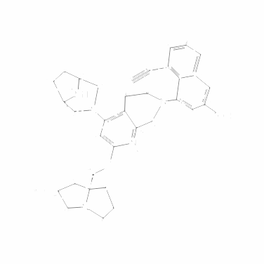 C#Cc1cccc2cc(O)cc(N3CCc4c(N5CC6CCC(C5)N6)cc(OC[C@@]56CCCN5C[C@H](F)C6)nc4C3)c12